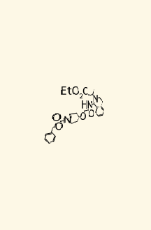 CCOC(=O)CC(C)N1CCc2ccccc2C1NC(=O)COC1CCN(C(=O)OCc2ccccc2)CC1